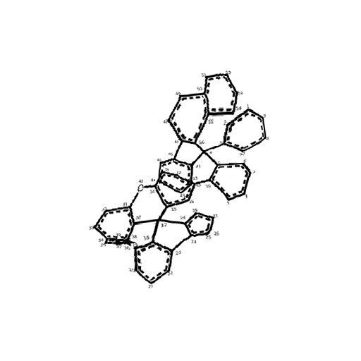 c1ccc(C2(c3ccccc3-c3ccc4c(c3)C3(c5ccccc5-c5ccccc53)c3c(ccc5ccccc35)O4)c3ccccc3-c3ccc4ccccc4c32)cc1